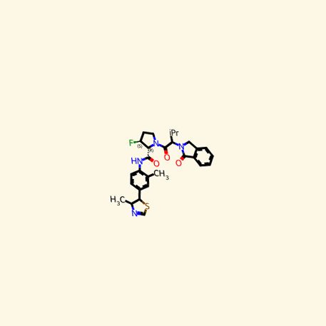 Cc1cc(C2SC=NC2C)ccc1NC(=O)[C@@H]1[C@@H](F)CCN1C(=O)C(C(C)C)N1Cc2ccccc2C1=O